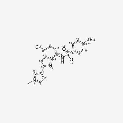 Cn1ccc(-c2cc3c(Cl)ccc(NS(=O)(=O)c4ccc(C(C)(C)C)cc4)n3n2)n1